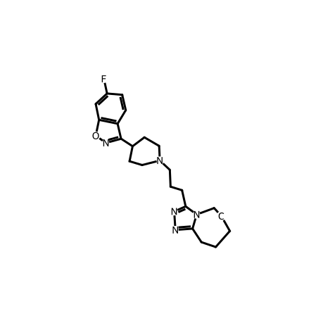 Fc1ccc2c(C3CCN(CCCc4nnc5n4CCCCC5)CC3)noc2c1